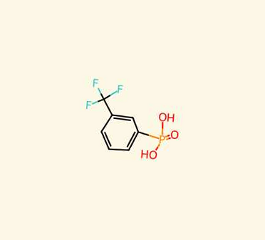 O=P(O)(O)c1cccc(C(F)(F)F)c1